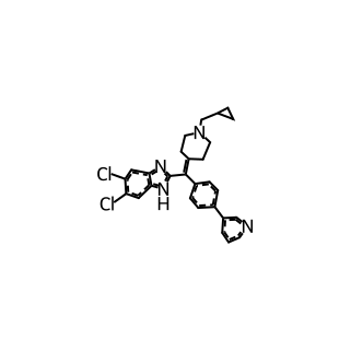 Clc1cc2nc(C(=C3CCN(CC4CC4)CC3)c3ccc(-c4cccnc4)cc3)[nH]c2cc1Cl